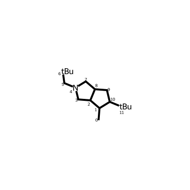 CC1C2CN(CC(C)(C)C)CC2CC1C(C)(C)C